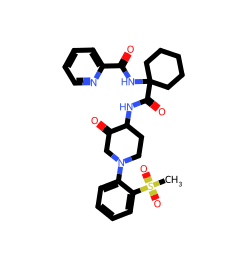 CS(=O)(=O)c1ccccc1N1CCC(NC(=O)C2(NC(=O)c3ccccn3)CCCCC2)C(=O)C1